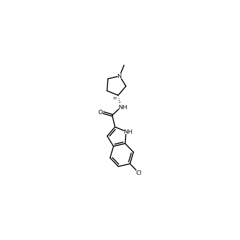 CN1CC[C@@H](NC(=O)c2cc3ccc(Cl)cc3[nH]2)C1